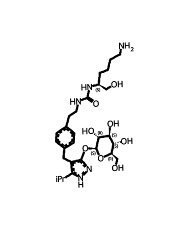 CC(C)c1[nH]nc(O[C@@H]2O[C@H](CO)[C@@H](O)[C@H](O)[C@H]2O)c1Cc1ccc(CCNC(=O)N[C@H](CO)CCCCN)cc1